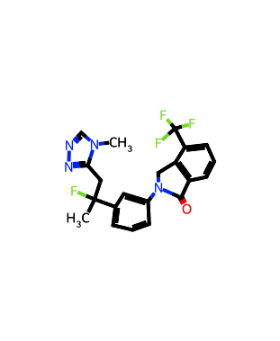 Cn1cnnc1CC(C)(F)c1cccc(N2Cc3c(cccc3C(F)(F)F)C2=O)c1